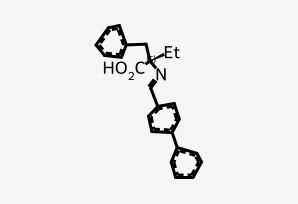 CC[C@@](Cc1ccccc1)(N=Cc1ccc(-c2ccccc2)cc1)C(=O)O